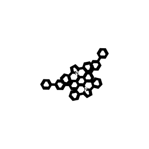 C1=CC(c2ccc(-c3ccccc3)n2-c2c3cc(-c4ccc(-c5ccccc5)cc4)ccc3c(-n3c(-c4ccccc4)ccc3-c3ccccc3)c3ccc(-c4ccc(-c5ccccc5)cc4)cc23)=CCC1